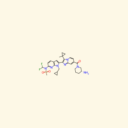 CC1(c2c(-c3cc4ccc(N(C(F)F)S(C)(=O)=O)nc4n3CC3CC3)nc3cc(C(=O)N4CCC[C@@H](N)C4)ccn23)CC1